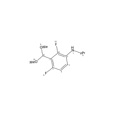 CCCNc1ccc(F)c(C(OC)OC)c1F